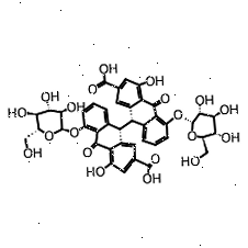 O=C(O)c1cc(O)c2c(c1)[C@@H]([C@@H]1c3cc(C(=O)O)cc(O)c3C(=O)c3c(O[C@H]4O[C@H](CO)[C@@H](O)[C@H](O)[C@H]4O)cccc31)c1cccc(O[C@H]3O[C@H](CO)[C@@H](O)[C@H](O)[C@H]3O)c1C2=O